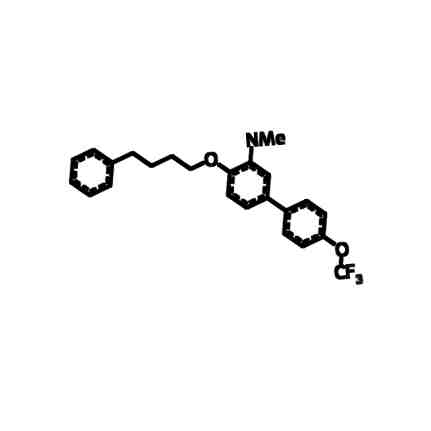 CNc1cc(-c2ccc(OC(F)(F)F)cc2)ccc1OCCCCc1ccccc1